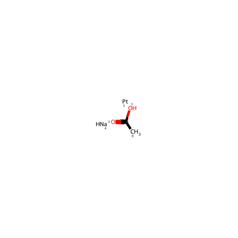 CC(=O)O.[NaH].[Pt]